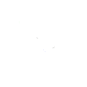 COc1cc2c(cc1OC)[C@H]1C[C@@H](O)[C@H](CCC(C)(C)CCF)CN1CC2